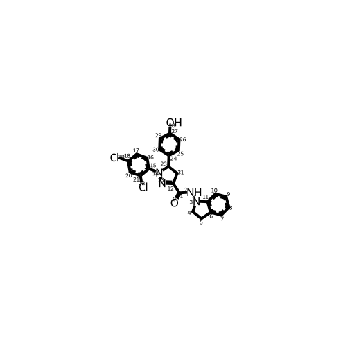 O=C(NN1CCc2ccccc21)C1=NN(c2ccc(Cl)cc2Cl)C(c2ccc(O)cc2)C1